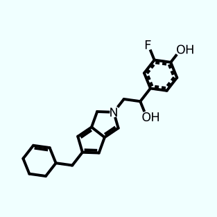 Oc1ccc(C(O)CN2C=C3C=C(CC4C=CCCC4)C=C3C2)cc1F